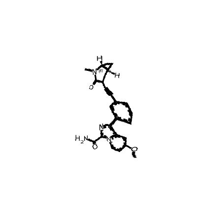 COc1ccn2c(C(N)=O)nc(-c3cccc(C#CC4C(=O)N(C)[C@@H]5C[C@H]45)c3)c2c1